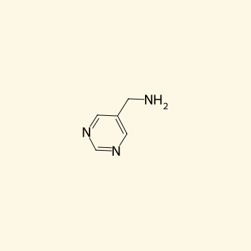 NCc1cncnc1